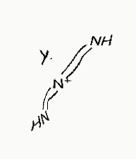 N=[N+]=N.[Y]